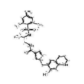 Cc1cc(C)c(S(=O)(=O)NC(CNC(=O)c2cnn(Cc3cc4c(nc3C)NCCC4)n2)C(=O)O)c(C)c1